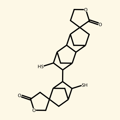 O=C1CC2(CO1)CC1CC2C(C2C(S)C3CC2C2C4CC(C32)C2(CCOC2=O)C4)C1S